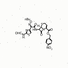 CCCCO/N=C(\C(=O)NC1C(=O)N2C(C(=O)OCc3ccc([N+](=O)[O-])cc3)=CCS[C@H]12)c1csc(NC=O)n1